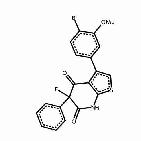 COc1cc(-c2csc3c2C(=O)C(F)(c2ccccc2)C(=O)N3)ccc1Br